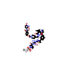 CS(=O)(=O)n1ccc(C(=O)NCC(=O)Nc2nc(-c3cccc(-c4ccnc(C5(C(=O)NCC6CCN(CCOc7ccc8c(c7)C(=O)N(C7CCC(=O)NC7=O)C8=O)CC6)CC5)c4)c3)cs2)c1